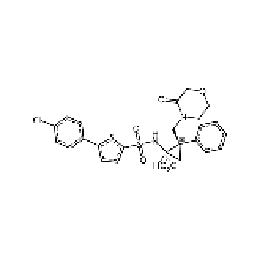 O=C1COCCN1C[C@@]1(c2ccccc2)C[C@]1(NS(=O)(=O)c1ccc(-c2ccc(Cl)cc2)s1)C(=O)O